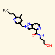 Cc1cc(Cn2cc3c(C(=O)NCCCO)nccc3n2)cnc1CCC(F)(F)F